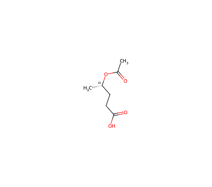 CC(=O)O[C@@H](C)CCC(=O)O